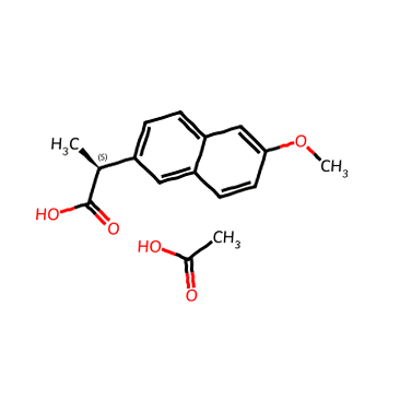 CC(=O)O.COc1ccc2cc([C@H](C)C(=O)O)ccc2c1